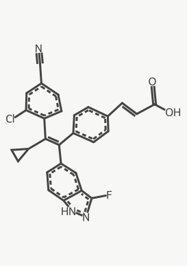 N#Cc1ccc(/C(=C(\c2ccc(/C=C/C(=O)O)cc2)c2ccc3[nH]nc(F)c3c2)C2CC2)c(Cl)c1